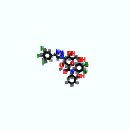 CO[C@@H]1[C@@H](n2cc(-c3cc(F)c(F)c(F)c3)nn2)[C@@H](O)[C@@H](CO)O[C@H]1C(=O)N(c1ccc(F)c(F)c1)[C@@H]1CCCC[C@H]1O